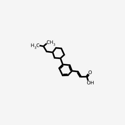 CC(C)CC1CCCC(c2cccc(/C=C/C(=O)O)c2)C1